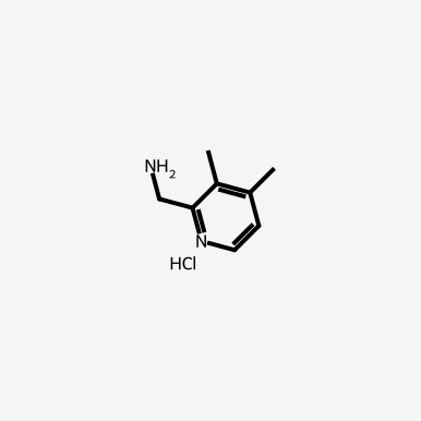 Cc1ccnc(CN)c1C.Cl